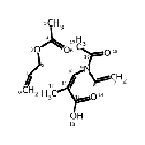 C=CCOC(C)=O.C=CN(C=C(C)C(=O)O)C(C)=O